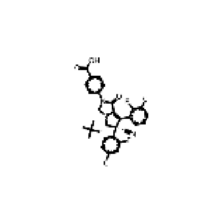 CC(C)(C)C[C@@H]1N2CN(c3ccc(C(=O)O)cc3)C(=O)C2=C(c2cccc(Cl)c2F)[C@@]1(C#N)c1ccc(Cl)cc1F